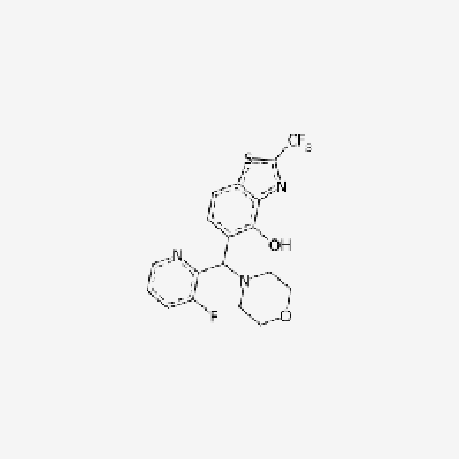 Oc1c(C(c2ncccc2F)N2CCOCC2)ccc2sc(C(F)(F)F)nc12